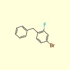 Fc1cc(Br)ccc1Cc1ccccc1